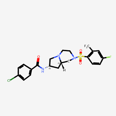 O=C(N[C@H]1C[C@H]2CN(S(=O)(=O)c3ccc(F)cc3C(F)(F)F)CCN2C1)c1ccc(Cl)cc1